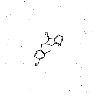 Cc1cc(Br)ccc1CN1Cc2ncccc2C1=O